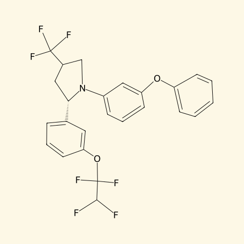 FC(F)C(F)(F)Oc1cccc([C@@H]2CC(C(F)(F)F)CN2c2cccc(Oc3ccccc3)c2)c1